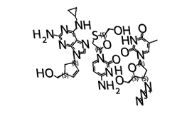 Cc1cn([C@H]2C[C@H](N=[N+]=[N-])[C@@H](CO)O2)c(=O)[nH]c1=O.Nc1ccn([C@H]2CS[C@@H](CO)O2)c(=O)n1.Nc1nc(NC2CC2)c2ncn([C@H]3C=C[C@@H](CO)C3)c2n1